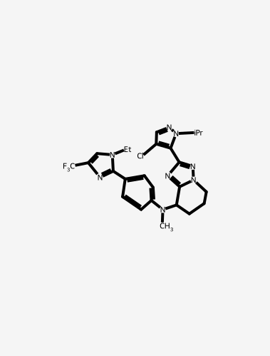 CCn1cc(C(F)(F)F)nc1-c1ccc(N(C)C2CCCn3nc(-c4c(Cl)cnn4C(C)C)nc32)cc1